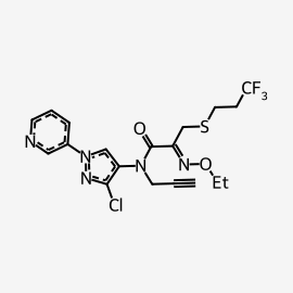 C#CCN(C(=O)C(CSCCC(F)(F)F)=NOCC)c1cn(-c2cccnc2)nc1Cl